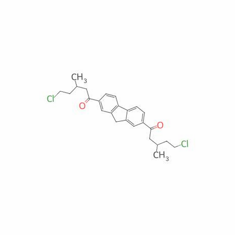 CC(CCCl)CC(=O)c1ccc2c(c1)Cc1cc(C(=O)CC(C)CCCl)ccc1-2